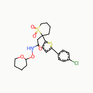 O=C(CC1(c2ccc(-c3ccc(Cl)cc3)s2)CCCCS1(=O)=O)NOC1CCCCO1